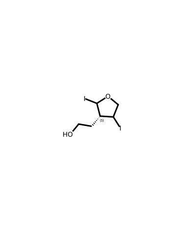 OCC[C@H]1C(I)COC1I